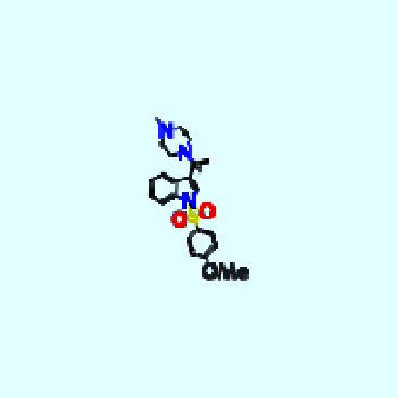 COc1ccc(S(=O)(=O)n2cc([C@H](C)N3CCN(C)CC3)c3ccccc32)cc1